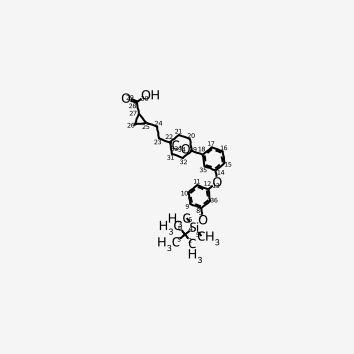 CC(C)(C)[Si](C)(C)Oc1cccc(Oc2cccc(C34CCC(CCC5CC5C(=O)O)(CC3)CO4)c2)c1